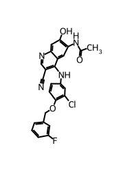 CC(=O)Nc1cc2c(Nc3ccc(OCc4cccc(F)c4)c(Cl)c3)c(C#N)cnc2cc1O